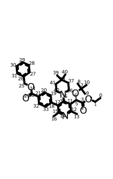 CCOC(=O)[C@@H](OC(C)(C)C)c1c(C)nc(C)c(-c2ccc(C(=O)OCc3ccccc3)cc2)c1N1CCC(C)(C)CC1